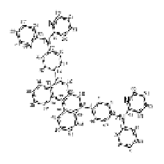 c1ccc(N(c2ccc(-c3cc4cc(-c5ccc(N(c6ccccn6)c6ccccn6)cc5)c5ccccc5c4c4ccccc34)cc2)c2ccccn2)cc1